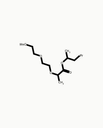 COCCOCCOC(C)C(=O)OC(C)CC(C)C